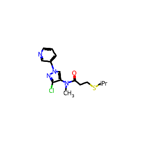 CC(C)SCCC(=O)N(C)c1cn(-c2cccnc2)nc1Cl